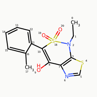 CCN1c2scnc2C(O)=C(c2ccccc2C)S1(=O)=O